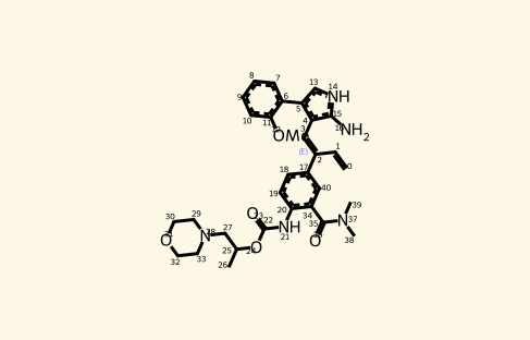 C=C/C(=C\c1c(-c2ccccc2OC)c[nH]c1N)c1ccc(NC(=O)OC(C)CN2CCOCC2)c(C(=O)N(C)C)c1